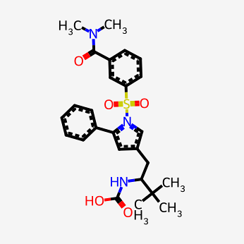 CN(C)C(=O)c1cccc(S(=O)(=O)n2cc(CC(NC(=O)O)C(C)(C)C)cc2-c2ccccc2)c1